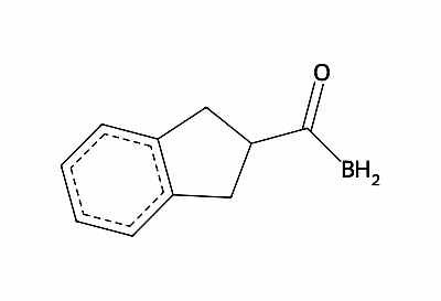 BC(=O)C1Cc2ccccc2C1